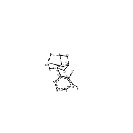 Cc1cccc(C23CC4CC(CC(C4)C2)C3)c1C